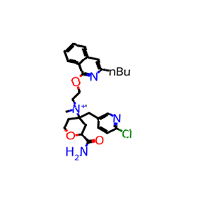 CCCCc1cc2ccccc2c(OCC[N+](C)(C)C2(Cc3ccc(Cl)nc3)CCOC(C(N)=O)C2)n1